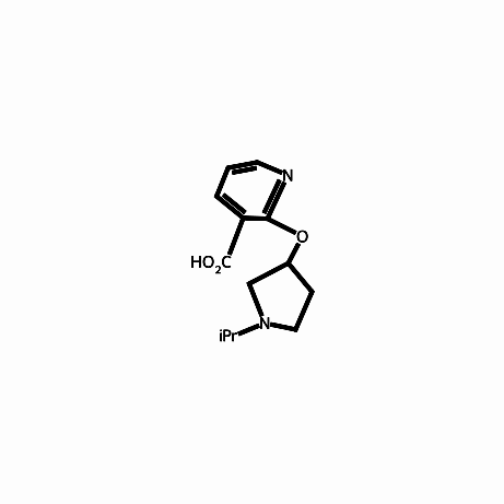 CC(C)N1CCC(Oc2ncccc2C(=O)O)C1